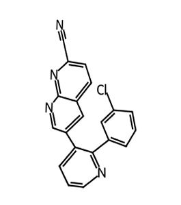 N#Cc1ccc2cc(-c3cccnc3-c3cccc(Cl)c3)cnc2n1